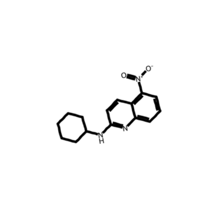 O=[N+]([O-])c1cccc2nc(NC3CCCCC3)ccc12